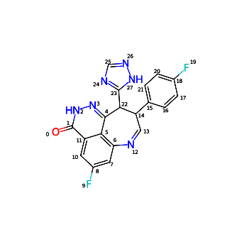 O=c1[nH]nc2c3c(cc(F)cc13)N=CC(c1ccc(F)cc1)C2c1ncn[nH]1